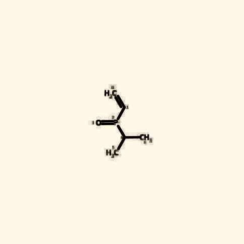 C=C[P](=O)C(C)C